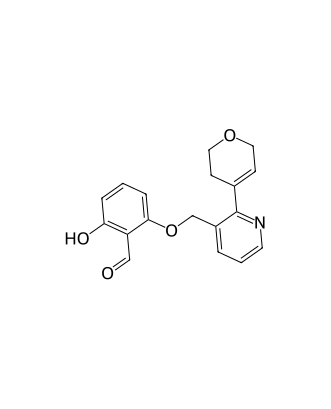 O=Cc1c(O)cccc1OCc1cccnc1C1=CCOCC1